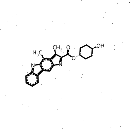 CC1=c2c(cc3c(c2C)N=c2ccccc2=3)N=C1C(=O)O[C@H]1CC[C@H](O)CC1